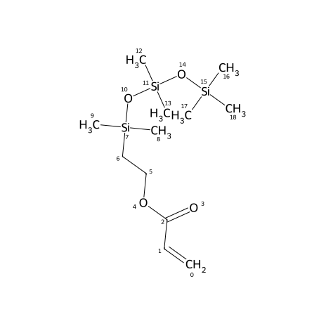 C=CC(=O)OCC[Si](C)(C)O[Si](C)(C)O[Si](C)(C)C